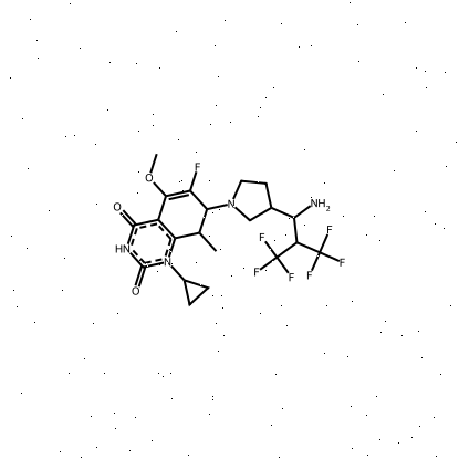 COC1=C(F)C(N2CCC(C(N)C(C(F)(F)F)C(F)(F)F)C2)C(C)c2c1c(=O)[nH]c(=O)n2C1CC1